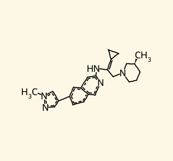 C[C@H]1CCCN(CC(Nc2cc3cc(-c4cnn(C)c4)ccc3cn2)=C2CC2)C1